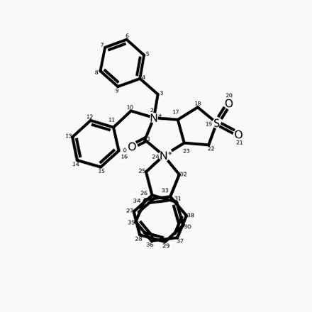 O=C1[N+](Cc2ccccc2)(Cc2ccccc2)C2CS(=O)(=O)CC2[N+]1(Cc1ccccc1)Cc1ccccc1